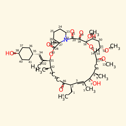 CC[C@@H]1/C=C(\C)C(O)[C@H](C)C[C@H](OC)[C@H]2O[C@@](O)(C(=O)C(=O)N3CCCC[C@H]3C(=O)O[C@H](/C(C)=C/[C@H]3CC[C@H](O)CC3)[C@H](C)CCC1=O)[C@H](C)C[C@@H]2OC